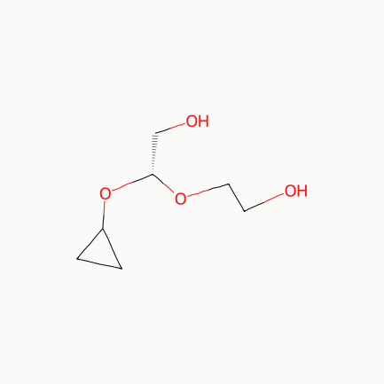 OCCO[C@@H](CO)OC1CC1